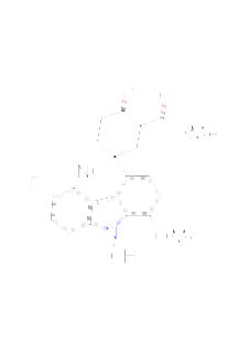 COC(=O)C1CC(C#N)(c2ccc(OC)c3c2c2cc(F)ccc2n3C)CCC1=O